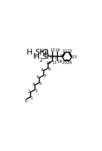 CCCCCCCCCCCCC(C)([SiH2]O[SiH3])C(C)(C)c1ccccc1